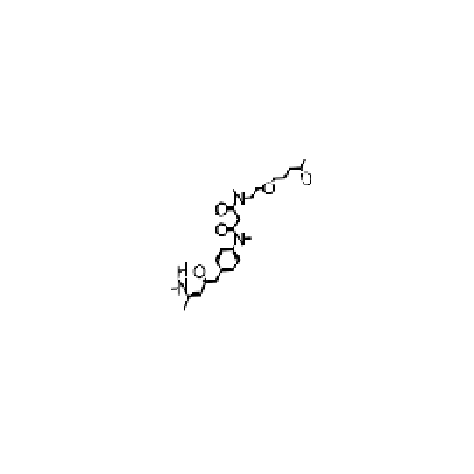 CN/C(C)=C\C(=O)Cc1ccc(N(C)C(=O)CC(=O)N(C)CCOCCCC(C)=O)cc1